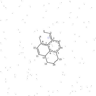 C/C=c1/ccc2c3c1=C(C)C=CC3CCC2